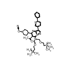 C=C(C)c1c(C2CCB(OC#N)CC2)nc2c(-c3ccc(-c4ccccc4)nc3)cnn2c1N(COCC[Si](C)(C)C)COCC[Si](C)(C)C